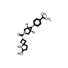 CC(C)c1ccc([C@H]2[C@@H]3CN(C(=O)[C@H]4C[C@]5(CCC(O)N5)C4)C[C@@H]32)cc1